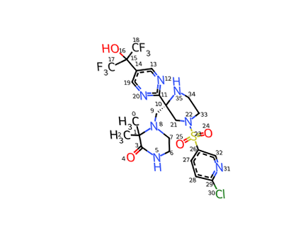 CC1(C)C(=O)NCCN1C[C@@]1(c2ncc(C(O)(C(F)(F)F)C(F)(F)F)cn2)CN(S(=O)(=O)c2ccc(Cl)nc2)CCN1